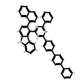 c1ccc(-c2ccc(-c3ccc(-c4nc(-c5ccccc5)nc(-c5c(-c6cccc7ccccc67)ccc6oc7ccccc7c56)n4)cc3)cc2)cc1